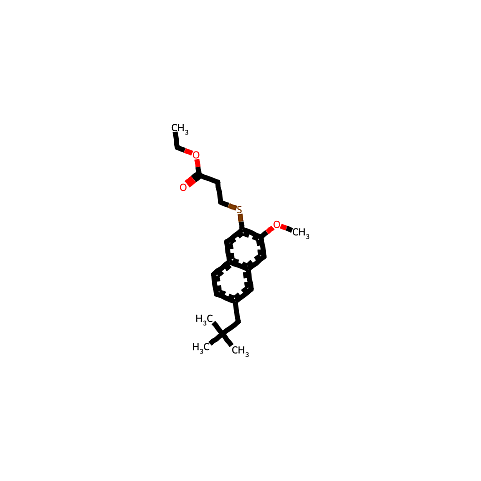 CCOC(=O)CCSc1cc2ccc(CC(C)(C)C)cc2cc1OC